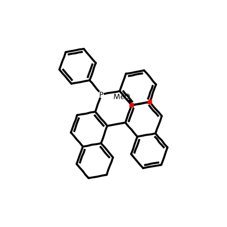 COc1ccc2ccccc2c1-c1c(P(c2ccccc2)c2ccccc2)ccc2c1=CCCC=2